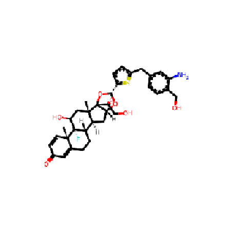 C[C@]12C=CC(=O)C=C1CC[C@H]1[C@@H]3C[C@H]4O[C@@H](c5ccc(Cc6ccc(CO)c(N)c6)s5)O[C@@]4(C(=O)CO)[C@@]3(C)C[C@H](O)[C@@]12F